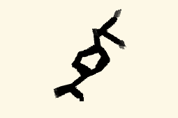 FC(F)Oc1ccc(C(=S)I)cc1